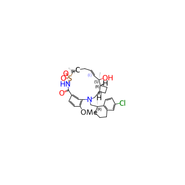 COc1ccc2cc1N(C[C@]1(C)CCCc3cc(Cl)ccc31)C[C@@H]1CC[C@H]1[C@](C)(O)/C=C/CC[C@@H](C)S(=O)(=O)NC2=O